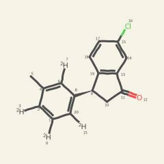 [2H]c1c([2H])c(C)c([2H])c([C@@H]2CC(=O)c3cc(Cl)ccc32)c1[2H]